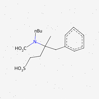 CCCCN(C(=O)O)C(C)(CCS(=O)(=O)O)Cc1ccccc1